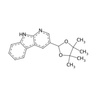 CC1(C)OC(c2cnc3[nH]c4ccccc4c3c2)OC1(C)C